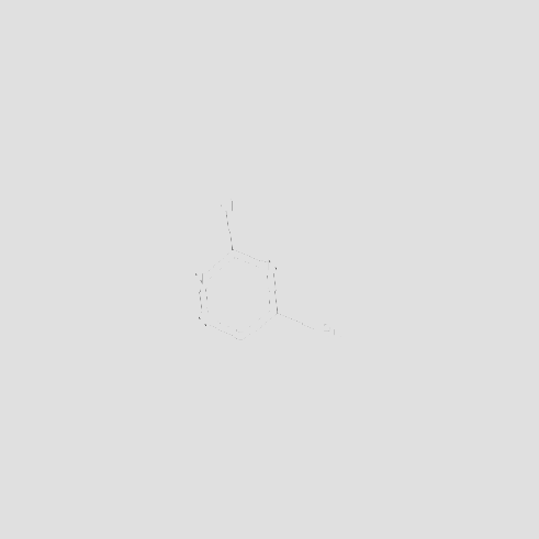 CC(C)(C)c1cnnc(Cl)n1